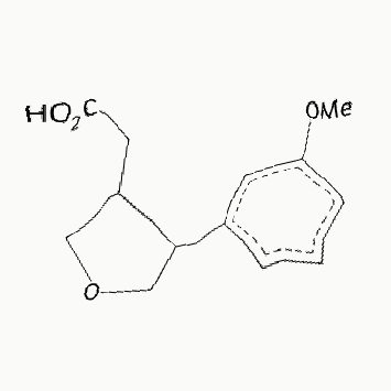 COc1cccc(C2COCC2CC(=O)O)c1